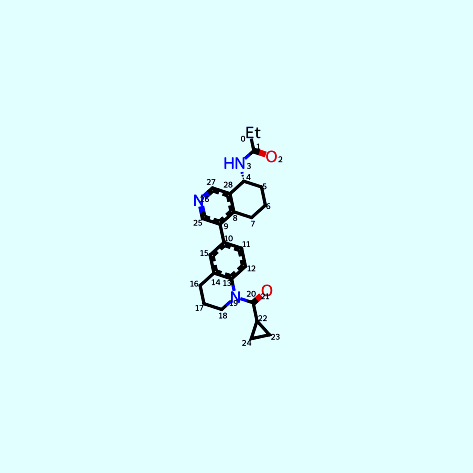 CCC(=O)N[C@@H]1CCCc2c(-c3ccc4c(c3)CCCN4C(=O)C3CC3)cncc21